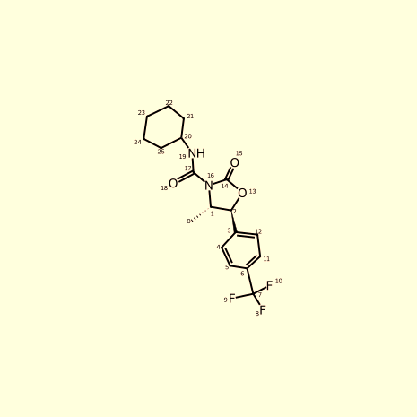 C[C@H]1[C@H](c2ccc(C(F)(F)F)cc2)OC(=O)N1C(=O)NC1CCCCC1